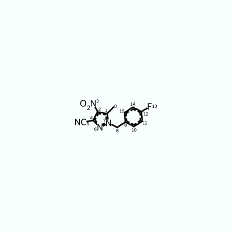 Cc1c([N+](=O)[O-])c(C#N)nn1Cc1ccc(F)cc1